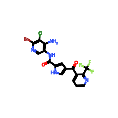 Nc1c(NC(=O)c2cc(C(=O)c3cccnc3C(F)(F)F)c[nH]2)cnc(Br)c1Cl